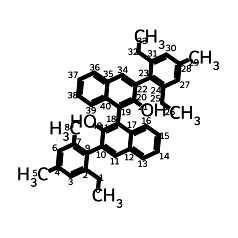 CCc1cc(C)cc(C)c1-c1cc2ccccc2c(-c2c(O)c(-c3c(CC)cc(C)cc3CC)cc3ccccc23)c1O